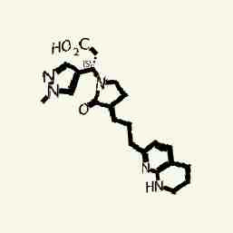 Cn1cc([C@H](CC(=O)O)N2CCC(CCCc3ccc4c(n3)NCCC4)C2=O)cn1